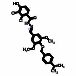 COc1cc(/C=N/NC(=O)c2ccc(O)c(Cl)c2Cl)cc(OC)c1OCc1ccc(C(C)C)cc1